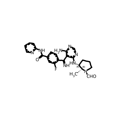 C[C@@H]1[C@H](Nc2ncnc(N)c2C(=N)c2ccc(C(=O)Nc3ccccn3)cc2F)CCCN1C=O